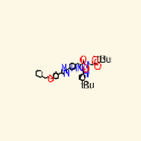 CC(C)(C)OC(=O)CCNC(=O)C(Cc1ccc(-c2ncc(-c3ccc(OCCC4CCCCC4)cc3)cn2)cc1)NC(=O)c1ccc(C(C)(C)C)cc1